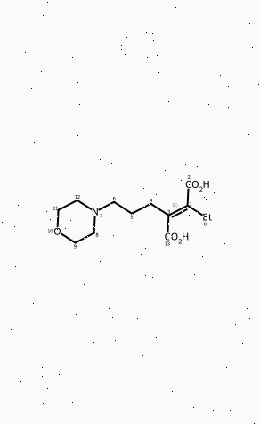 CC/C(C(=O)O)=C(/CCCN1CCOCC1)C(=O)O